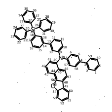 c1ccc(-c2ccc(N(c3cccc(-c4cccc([Si](c5ccccc5)(c5ccccc5)c5ccccc5)c4)c3)c3cccc4c3ccc3c5ccccc5oc43)cc2)cc1